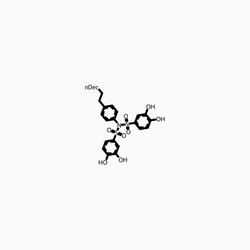 CCCCCCCCCCCCc1ccc(N(S(=O)(=O)c2ccc(O)c(O)c2)S(=O)(=O)c2ccc(O)c(O)c2)cc1